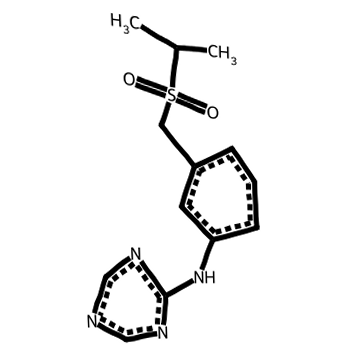 CC(C)S(=O)(=O)Cc1cccc(Nc2ncncn2)c1